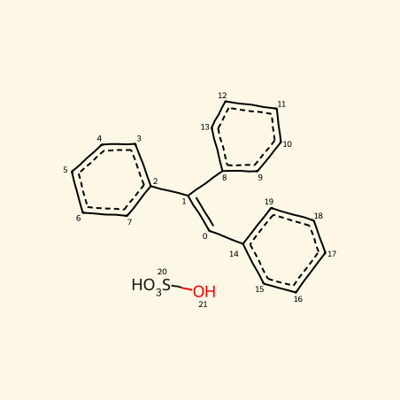 C(=C(c1ccccc1)c1ccccc1)c1ccccc1.O=S(=O)(O)O